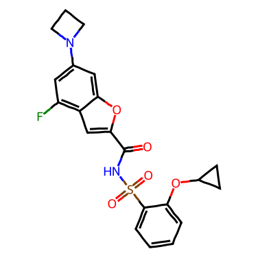 O=C(NS(=O)(=O)c1ccccc1OC1CC1)c1cc2c(F)cc(N3CCC3)cc2o1